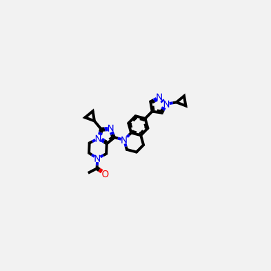 CC(=O)N1CCn2c(C3CC3)nc(N3CCCc4cc(-c5cnn(C6CC6)c5)ccc43)c2C1